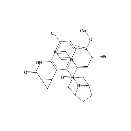 CC(C)N(C[C@@H](C(=O)N1C2CCC1CN(c1ncnc3c1C1CC1C(=O)N3)C2)c1ccc(Cl)cc1)C(=O)OC(C)(C)C